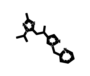 Cc1nc(CC(C)c2cnn(Cc3ccccn3)c2)n(C(C)C)n1